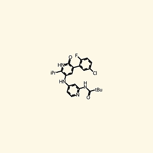 CC(C)c1[nH]c(=O)c(-c2cc(Cl)ccc2F)cc1Nc1ccnc(NC(=O)C(C)(C)C)c1